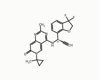 C#C[C@@H](Nc1nc(C)nc2cc(=O)n(C3(C)CC3)cc12)c1cccc2c1OCC2(F)F